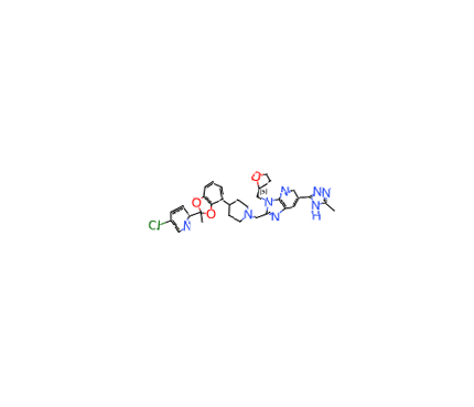 Cc1nnc(-c2cnc3c(c2)nc(CN2CCC(c4cccc5c4OC(C)(c4ccc(Cl)cn4)O5)CC2)n3C[C@@H]2CCO2)[nH]1